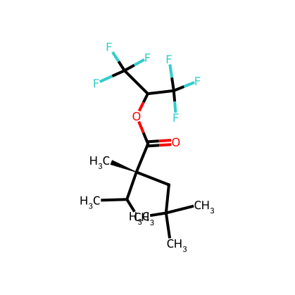 CC(C)[C@@](C)(CC(C)(C)C)C(=O)OC(C(F)(F)F)C(F)(F)F